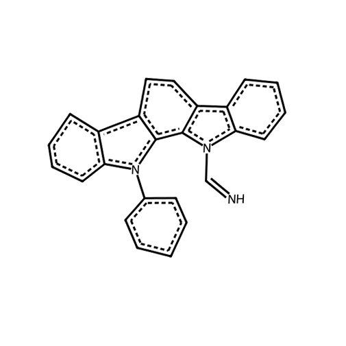 N=Cn1c2ccccc2c2ccc3c4ccccc4n(-c4ccccc4)c3c21